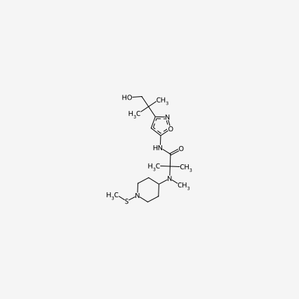 CSN1CCC(N(C)C(C)(C)C(=O)Nc2cc(C(C)(C)CO)no2)CC1